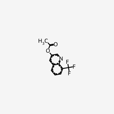 CC(=O)Oc1cnc2c(C(F)(F)F)cccc2c1